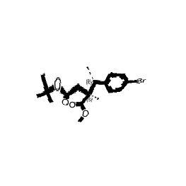 COC(=O)[C@@](C)(CC(=O)OC(C)(C)C)[C@H](C)c1ccc(Br)cc1